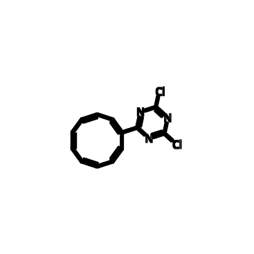 Clc1nc(Cl)nc(-c2ccccccccc2)n1